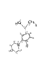 CC(O)c1ccc(F)c(N2CCOCC2)c1